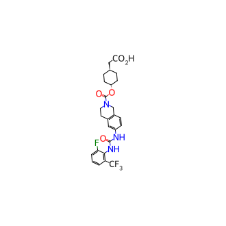 O=C(O)C[C@H]1CC[C@H](OC(=O)N2CCc3cc(NC(=O)Nc4c(F)cccc4C(F)(F)F)ccc3C2)CC1